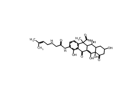 CC(C)=CCNCC(=O)Nc1ccc2c(c1O)C(=O)C1=C(O)C3(O)C(=O)CC(O)CC3C(O)C1C2(C)C(N)=O